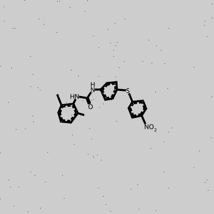 Cc1cccc(C)c1NC(=O)Nc1ccc(Sc2ccc([N+](=O)[O-])cc2)cc1